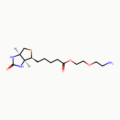 NCCOCCOC(=O)CCCC[C@@H]1SC[C@@H]2NC(=O)N[C@@H]21